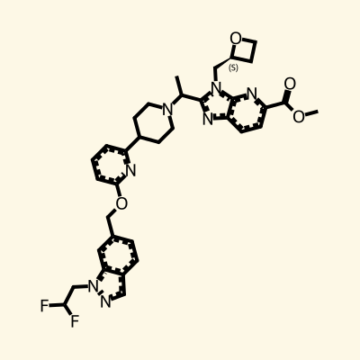 COC(=O)c1ccc2nc(C(C)N3CCC(c4cccc(OCc5ccc6cnn(CC(F)F)c6c5)n4)CC3)n(C[C@@H]3CCO3)c2n1